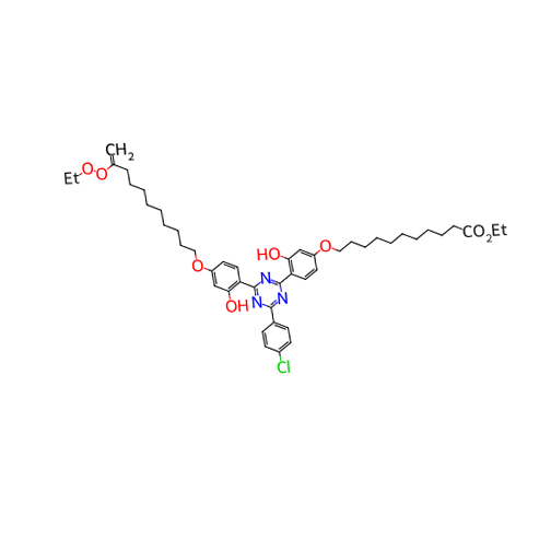 C=C(CCCCCCCCCOc1ccc(-c2nc(-c3ccc(Cl)cc3)nc(-c3ccc(OCCCCCCCCCCC(=O)OCC)cc3O)n2)c(O)c1)OOCC